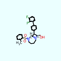 Cc1ccccc1S(=O)(=O)N1CCCCN2[C@H](CO)C(c3ccc(-c4cccc(F)c4F)cc3)[C@@H]2C1